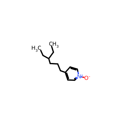 CCC(CC)CCCc1cc[n+]([O-])cc1